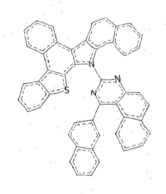 c1ccc2cc(-c3nc(-n4c5c6ccccc6ccc5c5c6ccccc6c6c7ccccc7sc6c54)nc4ccc5ccccc5c34)ccc2c1